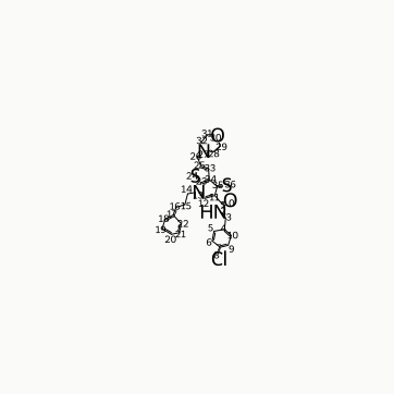 O=C(NCc1ccc(Cl)cc1)c1cn(CCCc2ccccc2)c2sc(CN3CCOCC3)cc2c1=S